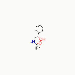 CC(C)C(=O)N(C)CC(O)c1ccccc1